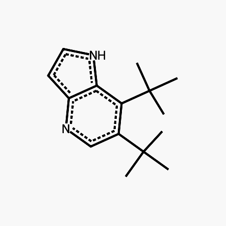 CC(C)(C)c1cnc2cc[nH]c2c1C(C)(C)C